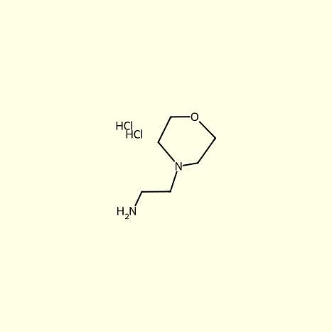 Cl.Cl.NCCN1CCOCC1